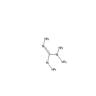 CCC[N]C(=NCCC)N(CCC)CCC